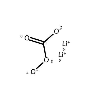 O=C([O-])O[O-].[Li+].[Li+]